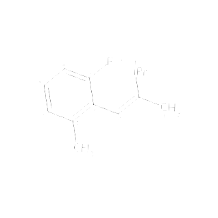 C/C(=C/c1c(C)cccc1F)C(C)C